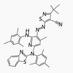 Cc1cc(C)c(Nc2nc(N(c3nc4ccccc4s3)c3c(C)cc(C)cc3C)cc(C)c2N=Nc2snc(C(C)(C)C)c2C#N)c(C)c1